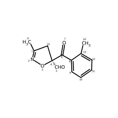 CC1=NO[C@](C=O)(C(=O)c2ccccc2C)C1